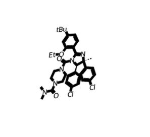 CCOc1cc(C(C)(C)C)ccc1C1=N[C@@](C)(c2ccc(Cl)cc2)[C@@H](c2ccc(Cl)cc2)N1C(=O)N1CCN(C(=O)N(C)C)CC1